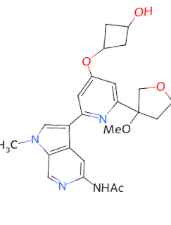 COC1(c2cc(OC3CC(O)C3)cc(-c3cn(C)c4cnc(NC(C)=O)cc34)n2)CCOC1